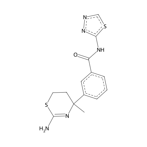 CC1(c2cccc(C(=O)Nc3nncs3)c2)CCSC(N)=N1